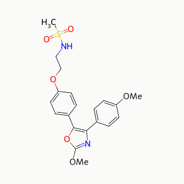 COc1ccc(-c2nc(OC)oc2-c2ccc(OCCNS(C)(=O)=O)cc2)cc1